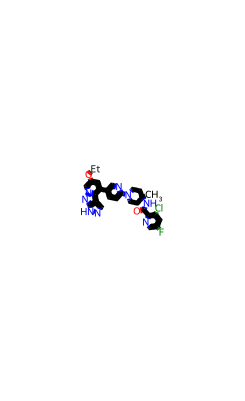 CCOc1cc(-c2ccc(N3CCC(C)(NC(=O)c4ncc(F)cc4Cl)CC3)nc2)c2c3cn[nH]c3nn2c1